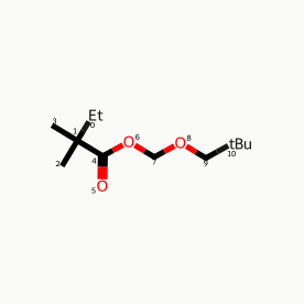 CCC(C)(C)C(=O)OCOCC(C)(C)C